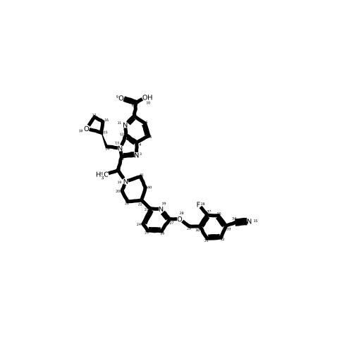 CC(c1nc2ccc(C(=O)O)nc2n1C[C@@H]1CCO1)N1CCC(c2cccc(OCc3ccc(C#N)cc3F)n2)CC1